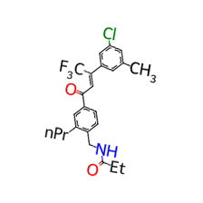 CCCc1cc(C(=O)/C=C(/c2cc(C)cc(Cl)c2)C(F)(F)F)ccc1CNC(=O)CC